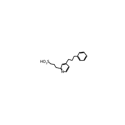 O=S(=O)(O)CCCc1cc(CCCc2ccccc2)ccn1